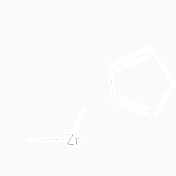 C1=CCC=C1.[CH3][Zr][CH3]